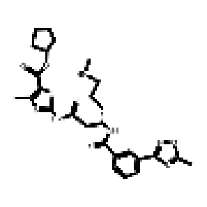 CNCCC[C@@H](CC(=O)Nc1nc(C)c(C(=O)OC2CCCC2)s1)NC(=O)c1cccc(-c2noc(C)n2)c1